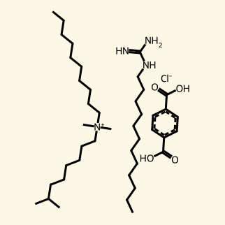 CCCCCCCCCCCCNC(=N)N.CCCCCCCCCC[N+](C)(C)CCCCCCC(C)C.O=C(O)c1ccc(C(=O)O)cc1.[Cl-]